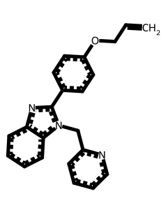 C=CCOc1ccc(-c2nc3ccccc3n2Cc2ccccn2)cc1